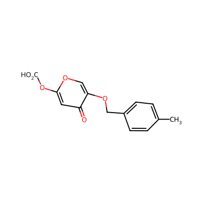 Cc1ccc(COc2coc(OC(=O)O)cc2=O)cc1